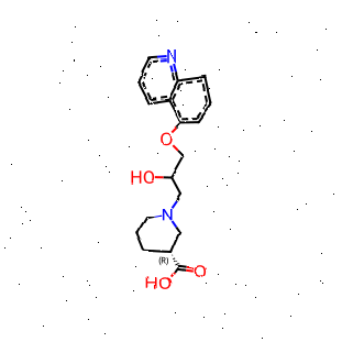 O=C(O)[C@@H]1CCCN(CC(O)COc2cccc3ncccc23)C1